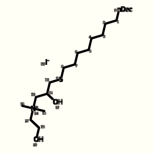 CCCCCCCCCCCCCCCCCCSCC(O)C[N+](C)(C)CCO.[I-]